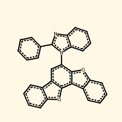 c1ccc(-c2nc3ccccc3n2-c2cc3c4ccccc4oc3c3c2oc2ccccc23)cc1